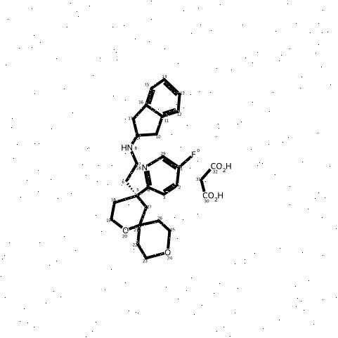 Fc1ccc([C@]2(CCNC3Cc4ccccc4C3)CCOC3(CCOCC3)C2)nc1.O=C(O)CC(=O)O